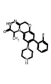 CC1C(=O)NN=C2COc3cc(-c4ccccc4F)c(N4CCNCC4)cc3N21